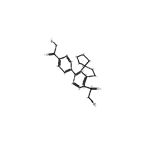 O=C(CBr)c1ccc(-c2ccc(C(=O)CBr)c3c2C2(CCCC2)CC3)cc1